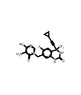 N#Cc1ncn(Cc2cc3c(cc2F)C(C#CC2CC2)(C(F)(F)F)NC(=O)N3)c(=O)c1N